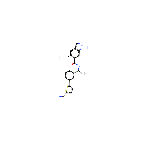 Cc1cc2cn[nH]c2cc1C(=O)NC(C)c1cccc(-c2ccc(CN)s2)c1